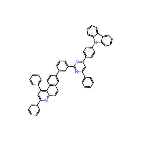 c1ccc(-c2cc(-c3ccc(-n4c5ccccc5c5ccccc54)cc3)nc(-c3cccc(-c4ccc5c(ccc6nc(-c7ccccc7)cc(-c7ccccc7)c65)c4)c3)n2)cc1